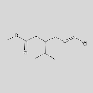 COC(=O)CC(CC=CCl)C(C)C